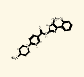 COc1ccccc1-c1nc(NC(=O)c2ccc(N3CCC(C(=O)O)CC3)nc2)sc1C#N